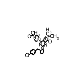 CC(=O)N1CCN(c2nc(N3CCCC3Cc3ccc(Cl)cc3)nc3c2CN(C(C)C)C3=O)CC1